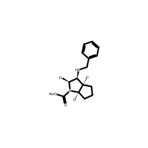 CC[C@H]1[C@@H](NCc2ccccc2)[C@H]2CCC[C@H]2N1C(=O)OC